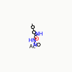 CC(=O)N(CCNC(=O)Cc1c[nH]c2cc(-c3ccc(C)cc3)ccc12)C1CCCCC1